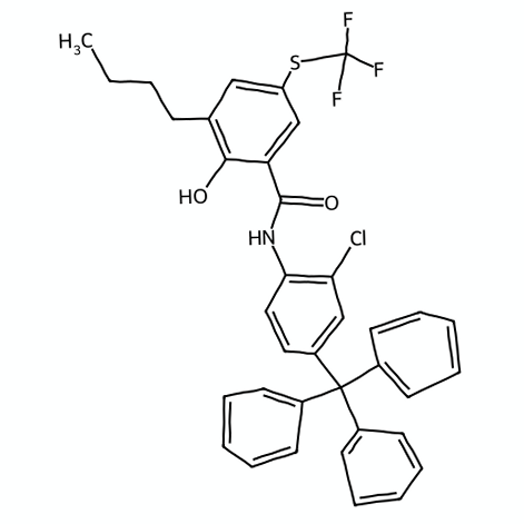 CCCCc1cc(SC(F)(F)F)cc(C(=O)Nc2ccc(C(c3ccccc3)(c3ccccc3)c3ccccc3)cc2Cl)c1O